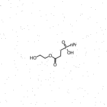 CCCP(=O)(O)CCC(=O)OCCO